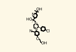 CC(C)(O)c1ccc([C@](C)(O)CN2CCN(c3ccc(OCCO)cc3C#N)[C@H](c3ccc(Cl)cc3)C2)cn1